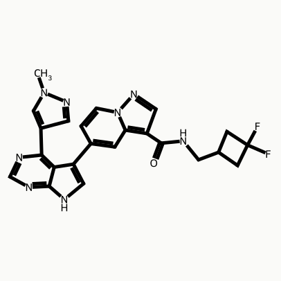 Cn1cc(-c2ncnc3[nH]cc(-c4ccn5ncc(C(=O)NCC6CC(F)(F)C6)c5c4)c23)cn1